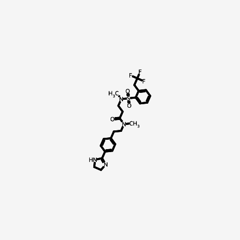 CN(CCc1ccc(C2=NCCN2)cc1)C(=O)CCN(C)S(=O)(=O)c1ccccc1CC(F)(F)F